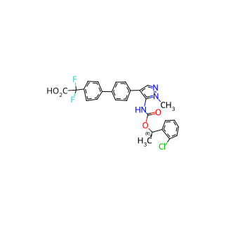 C[C@@H](OC(=O)Nc1c(-c2ccc(-c3ccc(C(F)(F)C(=O)O)cc3)cc2)cnn1C)c1ccccc1Cl